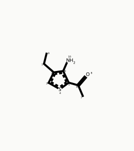 CCc1csc(C(C)=O)c1N